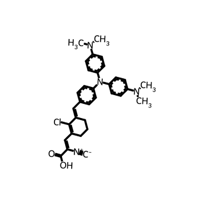 [C-]#[N+]/C(=C\C1=C(Cl)C(=C/c2ccc(N(c3ccc(N(C)C)cc3)c3ccc(N(C)C)cc3)cc2)/CCC1)C(=O)O